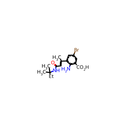 CCC(C)(C)NC(=O)C=C(C)c1cc(Br)cc(C(=O)O)c1N